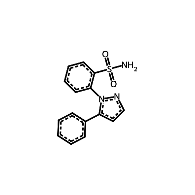 NS(=O)(=O)c1ccccc1-n1nccc1-c1ccccc1